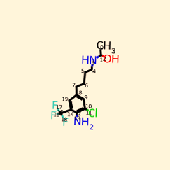 CC(O)NCCCCc1cc(Cl)c(N)c(C(F)(F)F)c1